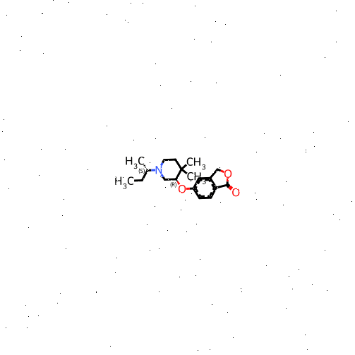 CC[C@H](C)N1CCC(C)(C)[C@@H](Oc2ccc3c(c2)COC3=O)C1